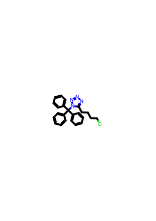 ClCCCCc1nnnn1C(c1ccccc1)(c1ccccc1)c1ccccc1